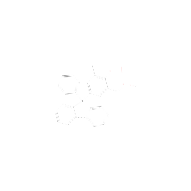 COCc1cc(C2(c3ccccc3)c3ccccc3-c3ccccc32)cc(C)c1O